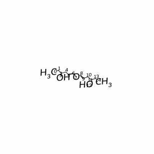 CCC(O)CC=COC=CCC(O)CC